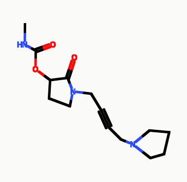 CNC(=O)OC1CCN(CC#CCN2CCCC2)C1=O